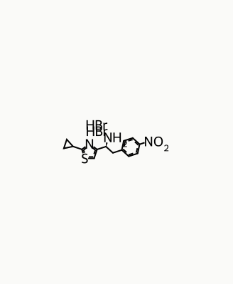 Br.Br.N[C@@H](Cc1ccc([N+](=O)[O-])cc1)c1csc(C2CC2)n1